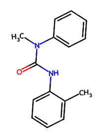 Cc1ccccc1NC(=O)N(C)c1ccccc1